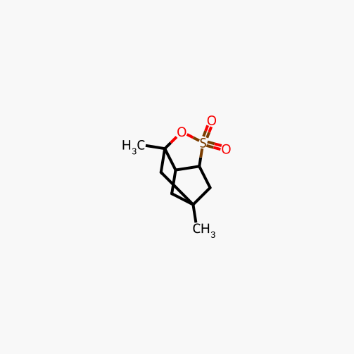 CC12CC3C(C1)S(=O)(=O)OC3(C)C2